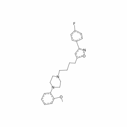 COc1ccccc1N1CCN(CCCCc2cc(-c3ccc(F)cc3)no2)CC1